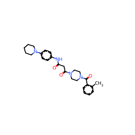 Cc1ccccc1C(=O)N1CCN(C(=O)CC(=O)Nc2ccc(N3CCCCC3)cc2)CC1